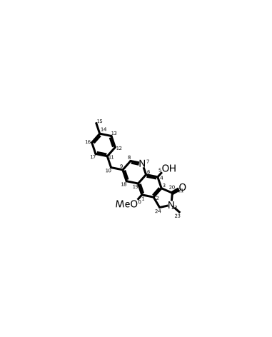 COc1c2c(c(O)c3ncc(Cc4ccc(C)cc4)cc13)C(=O)N(C)C2